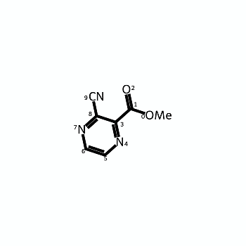 COC(=O)c1nccnc1C#N